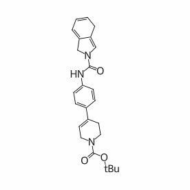 CC(C)(C)OC(=O)N1CC=C(c2ccc(NC(=O)N3C=C4CC=CC=C4C3)cc2)CC1